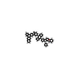 c1ccc(-n2c3ccc(-c4c5ccccc5c(-c5ccc6oc7cc8c9ccccc9c9cc%10ccccc%10cc9c8cc7c6c5)c5ccccc45)cc3c3ccc4c5ccccc5sc4c32)cc1